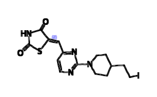 O=C1NC(=O)/C(=C/c2ccnc(N3CCC(CCI)CC3)n2)S1